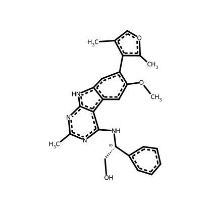 COc1cc2c(cc1-c1c(C)coc1C)[nH]c1nc(C)nc(N[C@@H](CO)c3ccccc3)c12